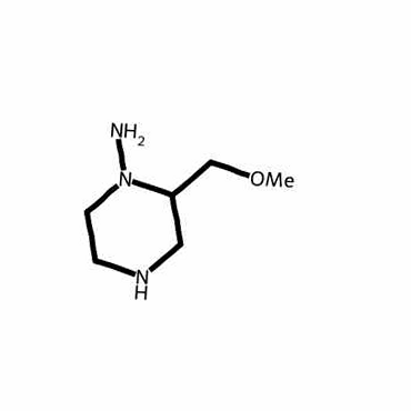 COCC1CNCCN1N